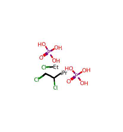 CC(C)C(Cl)CCl.CCCl.O=P(O)(O)O.O=P(O)(O)O